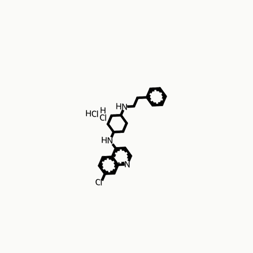 Cl.Cl.Clc1ccc2c(NC3CCC(NCCc4ccccc4)CC3)ccnc2c1